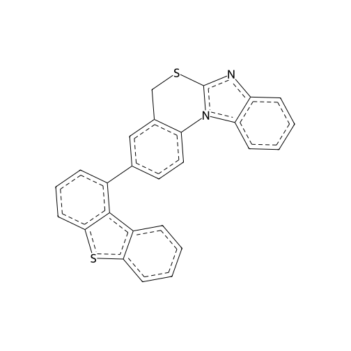 c1ccc2c(c1)nc1n2-c2ccc(-c3cccc4sc5ccccc5c34)cc2CS1